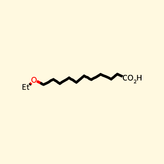 CCOCCCCCCCCCCC(=O)O